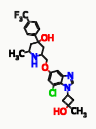 CC1CC(O)(c2ccc(C(F)(F)F)cc2)CC(COc2cc(Cl)c3c(c2)ncn3C2CC(C)(O)C2)N1